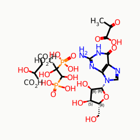 CC(=O)C(=O)O.Nc1nc2c(ncn2[C@@H]2O[C@H](CO)[C@@H](O)[C@H]2O)c(=O)[nH]1.O=C(O)C(O)(C(O)P(=O)(O)O)P(=O)(O)O.O=C(O)CC(O)C(=O)O